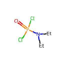 CCN(CC)P(=O)(Cl)Cl